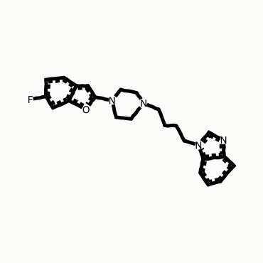 Fc1ccc2cc(N3CCN(CCCCn4cnc5ccccc54)CC3)oc2c1